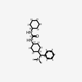 CN(C)C(c1ccccc1)C1CCC(NC(=O)NC2CCCCC2)CC1